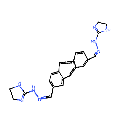 C(=N/NC1=NCCN1)/c1ccc2cc3ccc(/C=N\NC4=NCCN4)cc3cc2c1